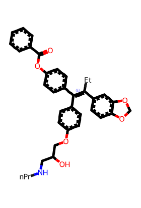 CCCNCC(O)COc1ccc(/C(=C(/CC)c2ccc3c(c2)OCO3)c2ccc(OC(=O)c3ccccc3)cc2)cc1